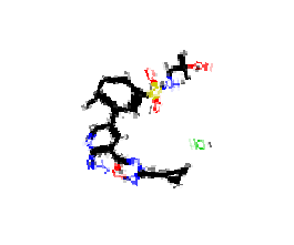 Cc1ccc(S(=O)(=O)NCC(C)(C)O)cc1-c1cnc(N)c(-c2nc(C3CC3)no2)c1.Cl